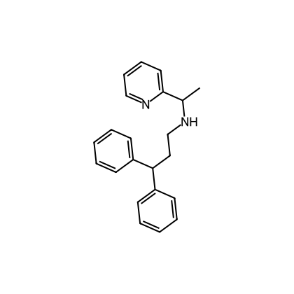 CC(NCCC(c1ccccc1)c1ccccc1)c1ccccn1